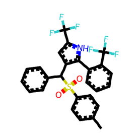 Cc1ccc(S(=O)(=O)C(c2ccccc2)c2cc(C(F)(F)F)[nH]c2-c2ccccc2C(F)(F)F)cc1